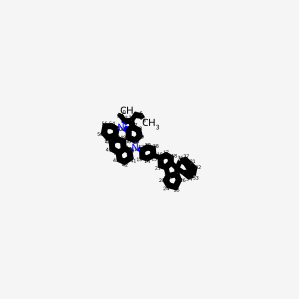 C=Cc1c(/C=C\C)c2ccc(N(c3ccc(-c4ccc5c(c4)-c4ccccc4C54C5CC6CC(C5)CC4C6)cc3)c3cccc4ccccc34)cc2n1-c1ccccc1